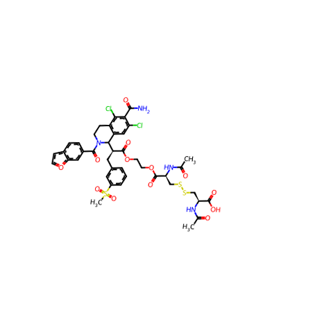 CC(=O)N[C@@H](CSSC[C@H](NC(C)=O)C(=O)OCCOC(=O)[C@@H](Cc1cccc(S(C)(=O)=O)c1)C1c2cc(Cl)c(C(N)=O)c(Cl)c2CCN1C(=O)c1ccc2ccoc2c1)C(=O)O